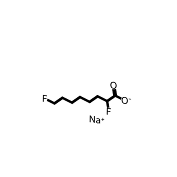 O=C([O-])C(F)CCCCCCF.[Na+]